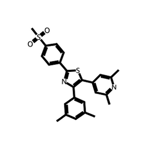 Cc1cc(C)cc(-c2nc(-c3ccc(S(C)(=O)=O)cc3)sc2-c2cc(C)nc(C)c2)c1